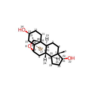 C[C@]12CC[C@H]3[C@@H](CC4OC[C@@]35CC[C@H](O)C[C@]45Br)[C@@H]1CC[C@@H]2O